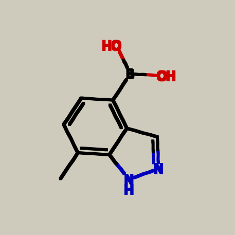 Cc1ccc(B(O)O)c2cn[nH]c12